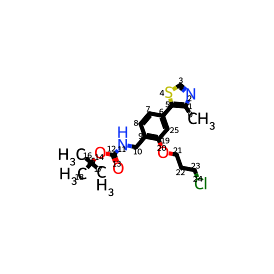 Cc1ncsc1-c1ccc(CNC(=O)OC(C)(C)C)c(OCCCCl)c1